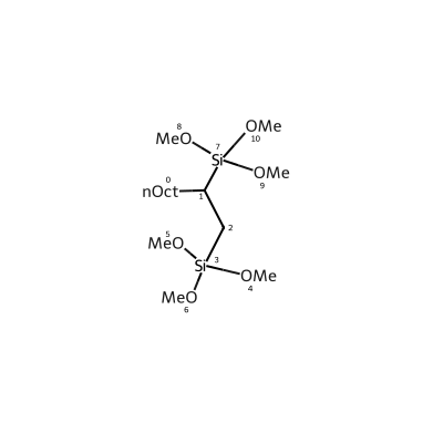 CCCCCCCCC(C[Si](OC)(OC)OC)[Si](OC)(OC)OC